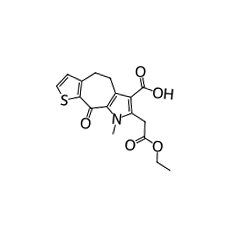 CCOC(=O)Cc1c(C(=O)O)c2c(n1C)C(=O)c1sccc1CC2